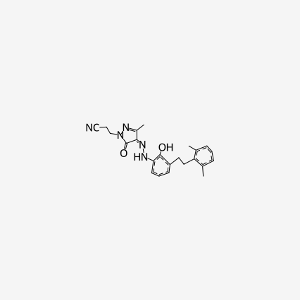 CC1=NN(CCC#N)C(=O)C1=NNc1cccc(CCc2c(C)cccc2C)c1O